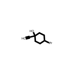 C#CC1(O)CCC(C(C)C)CC1